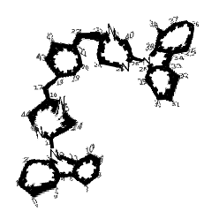 c1ccc2c(c1)c1ccccc1n2-c1cnc(Cc2ccc(Cc3cnc(-n4c5ccccc5c5ccccc54)cn3)cc2)cn1